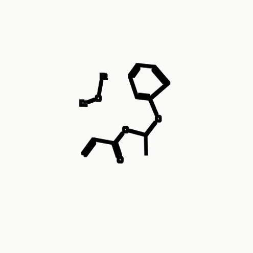 C=CC(=O)OC(C)Oc1ccccc1.CCOCC